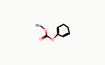 CC(C)(C)OC(=O)OC1=CCCC=C1